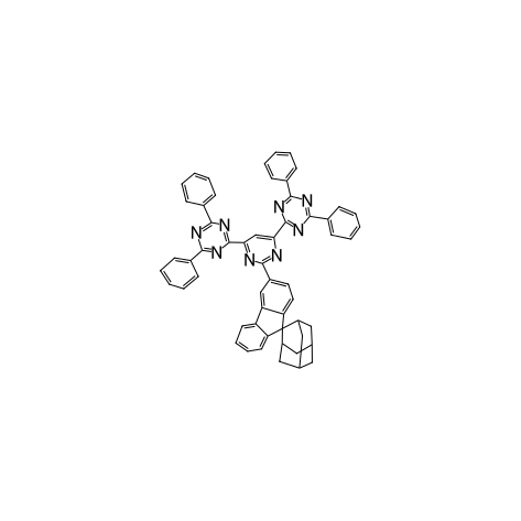 c1ccc(-c2nc(-c3ccccc3)nc(-c3cc(-c4nc(-c5ccccc5)nc(-c5ccccc5)n4)nc(-c4ccc5c(c4)-c4ccccc4C54C5CC6CC(C5)CC4C6)n3)n2)cc1